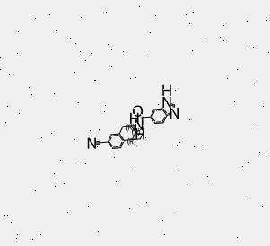 C[C@@H]1[C@H]2Cc3cc(C#N)ccc3[C@]1(C)CCN2C(=O)c1ccc2nc[nH]c2c1